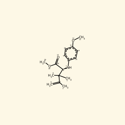 C=C(C)C(C)(C)[C@H](Nc1ccc(OC)cc1)C(=O)OC